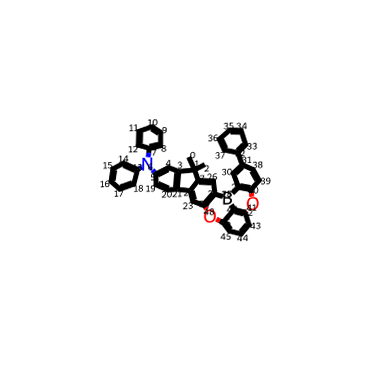 CC1(C)c2cc(N(c3ccccc3)c3ccccc3)ccc2-c2cc3c(cc21)B1c2cc(-c4ccccc4)ccc2Oc2cccc(c21)O3